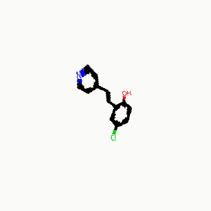 Oc1ccc(Cl)cc1/C=C/c1ccncc1